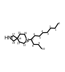 CCCCCCCC(CCC)N1CCC2(CC1)CNC2